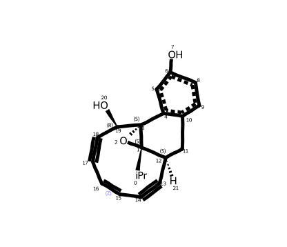 CC(C)[C@@]12O[C@]13c1cc(O)ccc1C[C@H]2C#C/C=C\C#C[C@H]3O